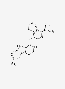 Cc1ccc2[nH]c3c(c2c1)CCN[C@H]3Cc1ccc(N(C)C)c2ccccc12